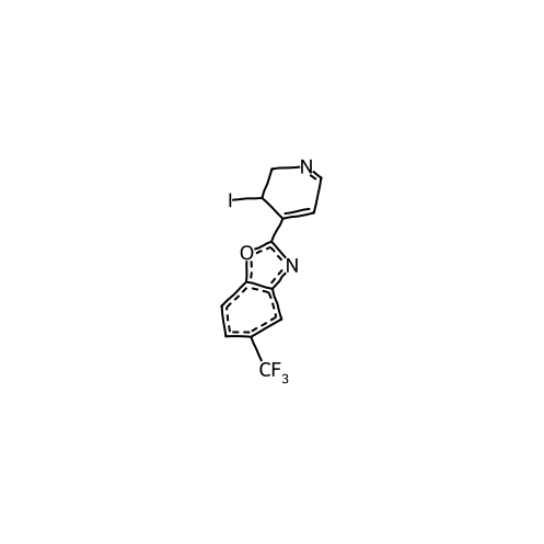 FC(F)(F)c1ccc2oc(C3=CC=NCC3I)nc2c1